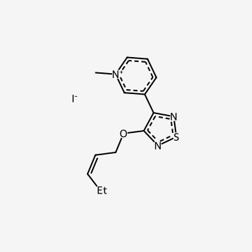 CC/C=C\COc1nsnc1-c1ccc[n+](C)c1.[I-]